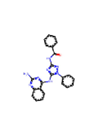 Nc1nc(Nc2nc(NC(=O)c3ccccc3)nn2-c2ccccc2)c2ccccc2n1